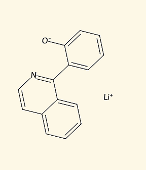 [Li+].[O-]c1ccccc1-c1nccc2ccccc12